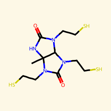 CC12NC(=O)N(CCS)C1N(CCS)C(=O)N2CCS